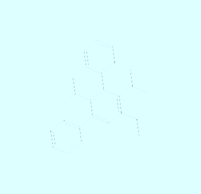 CC(C)c1cc(-c2ccccc2)c(C(C)C)c(-c2ccccc2)c1C(C)C